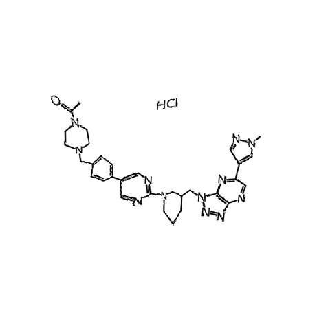 CC(=O)N1CCN(Cc2ccc(-c3cnc(N4CCCC(Cn5nnc6ncc(-c7cnn(C)c7)nc65)C4)nc3)cc2)CC1.Cl